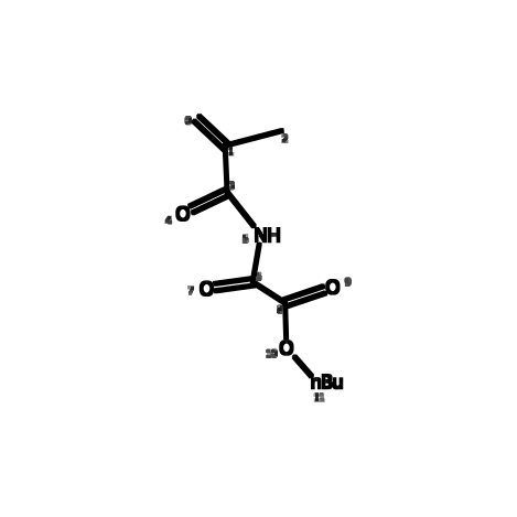 C=C(C)C(=O)NC(=O)C(=O)OCCCC